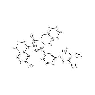 CC(C)c1ccc2c(c1)C(NC(=O)C1Cc3ccccc3CN1C(=O)c1cccc(OCC(C)N(C)C)c1)CCC2